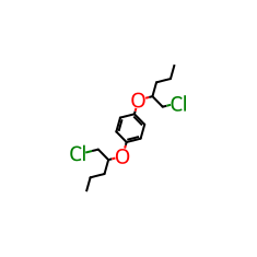 CCCC(CCl)Oc1ccc(OC(CCl)CCC)cc1